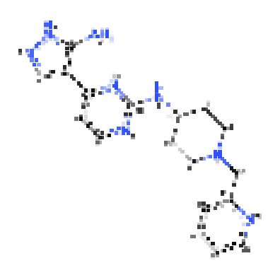 Nc1[nH]ncc1-c1ccnc(NC2CCN(Cc3ccccn3)CC2)n1